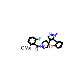 COc1cccc(F)c1C(=O)N1CCC2(CC1)Oc1ccccc1-c1c2cnn1C